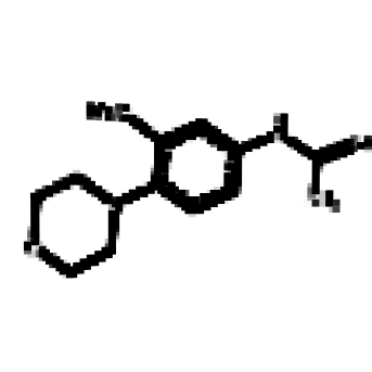 COc1cc(NC(=N)N)ccc1N1CCOCC1